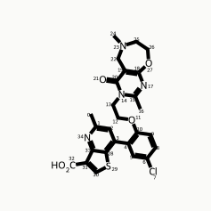 Cc1cc(-c2cc(Cl)ccc2OCCn2c(C)nc3c(c2=O)CN(C)CCO3)c2scc(C(=O)O)c2n1